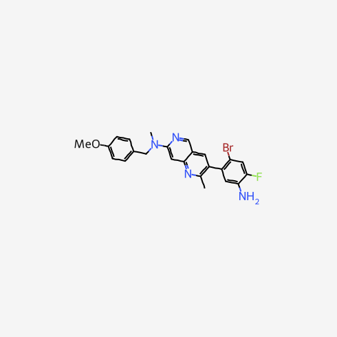 COc1ccc(CN(C)c2cc3nc(C)c(-c4cc(N)c(F)cc4Br)cc3cn2)cc1